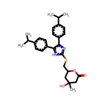 CC(C)c1ccc(-c2nc(SCC3CC(C)(O)CC(=O)O3)[nH]c2-c2ccc(C(C)C)cc2)cc1